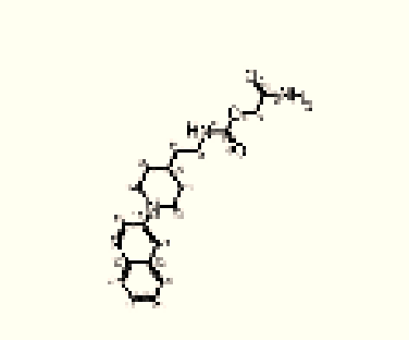 NC(=O)COC(=O)NCCC1CCN(c2cnc3ccccc3c2)CC1